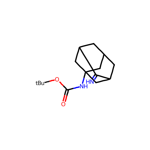 CC(C)(C)OC(=O)NC12CC3CC(C1)C(=N)C(C3)C2